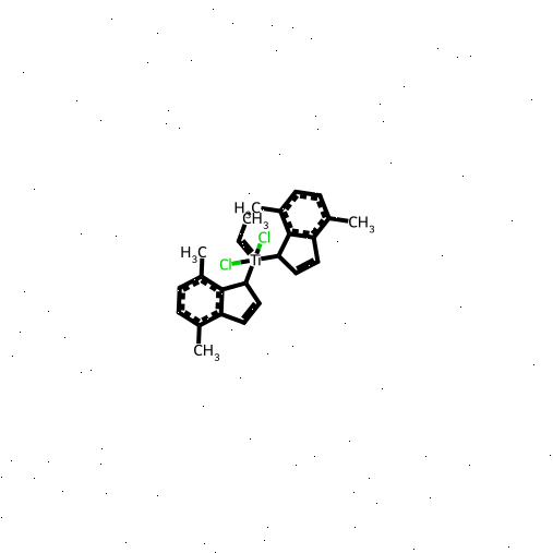 C[CH]=[Ti]([Cl])([Cl])([CH]1C=Cc2c(C)ccc(C)c21)[CH]1C=Cc2c(C)ccc(C)c21